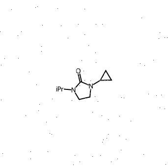 CC(C)N1CCN(C2CC2)C1=O